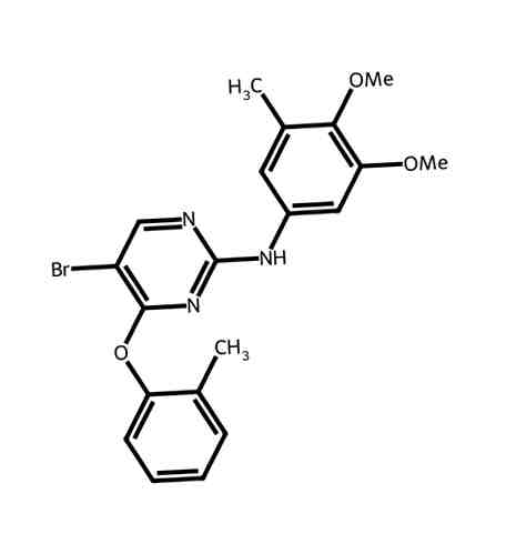 COc1cc(Nc2ncc(Br)c(Oc3ccccc3C)n2)cc(C)c1OC